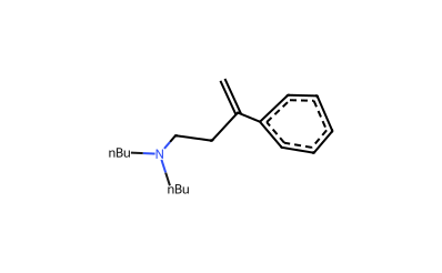 C=C(CCN(CCCC)CCCC)c1ccccc1